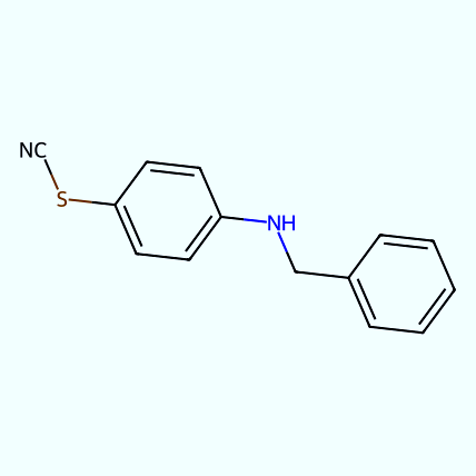 N#CSc1ccc(NCc2ccccc2)cc1